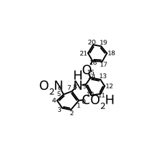 O=C(O)c1cccc([N+](=O)[O-])c1Nc1ccccc1Oc1ccccc1